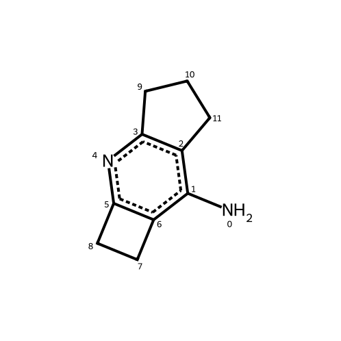 Nc1c2c(nc3c1CC3)CCC2